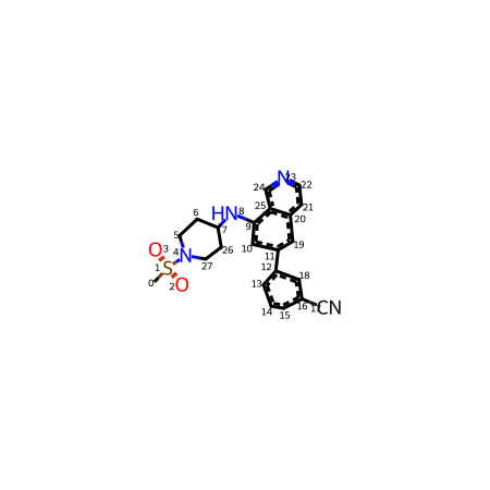 CS(=O)(=O)N1CCC(Nc2cc(-c3cccc(C#N)c3)cc3ccncc23)CC1